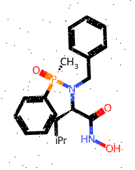 CC(C)C[C@H](C(=O)NO)N(Cc1ccccc1)[P@](C)(=O)c1ccccc1